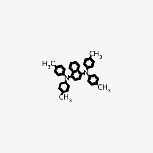 CC1=CCC(N(c2ccc(C)cc2)c2ccc(N(c3ccc(C)cc3)c3ccc(C)cc3)c3ccccc23)C=C1